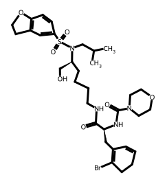 CC(C)CN([C@H](CO)CCCCNC(=O)[C@H](CC1=C(Br)CCC=C1)NC(=O)N1CCOCC1)S(=O)(=O)c1ccc2c(c1)CCO2